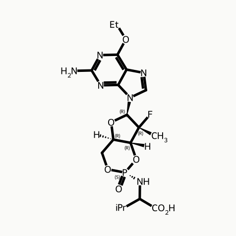 CCOc1nc(N)nc2c1ncn2[C@@H]1O[C@@H]2CO[P@@](=O)(NC(C(=O)O)C(C)C)O[C@H]2[C@@]1(C)F